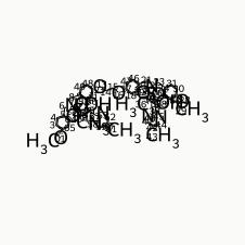 COc1ccc(CN(Cc2ccc(OCCOc3ccc(CN(Cc4ccc(OC)cc4)S(=O)(=O)[C@@H](C)[C@@H](O)c4ncc(C)cn4)cc3)cc2)S(=O)(=O)[C@H](C)[C@H](O)c2ncc(C)cn2)cc1